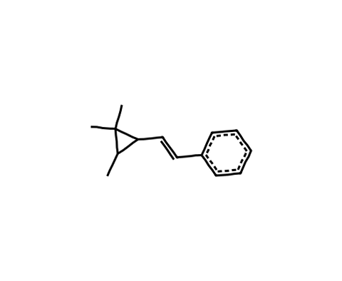 CC1C(C=Cc2ccccc2)C1(C)C